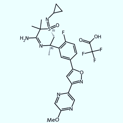 COc1cnc(-c2cc(-c3ccc(F)c([C@]4(C)C[S@@](=O)(=NC5CC5)C(C)(C)C(N)=N4)c3)on2)cn1.O=C(O)C(F)(F)F